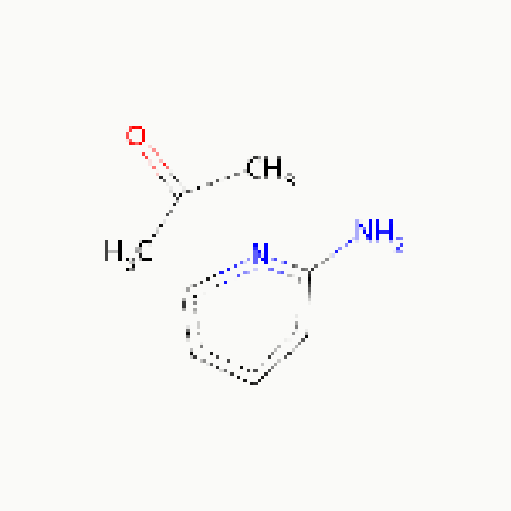 CC(C)=O.Nc1ccccn1